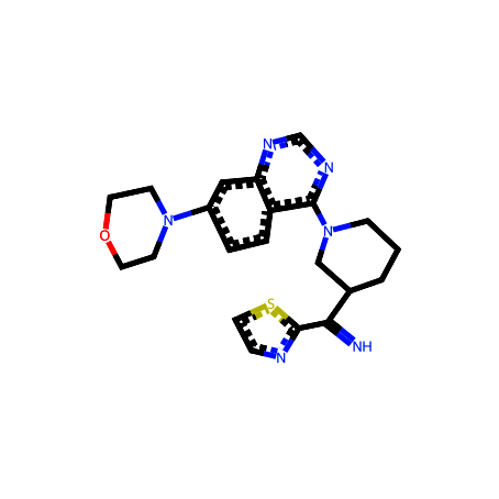 N=C(c1nccs1)C1CCCN(c2ncnc3cc(N4CCOCC4)ccc23)C1